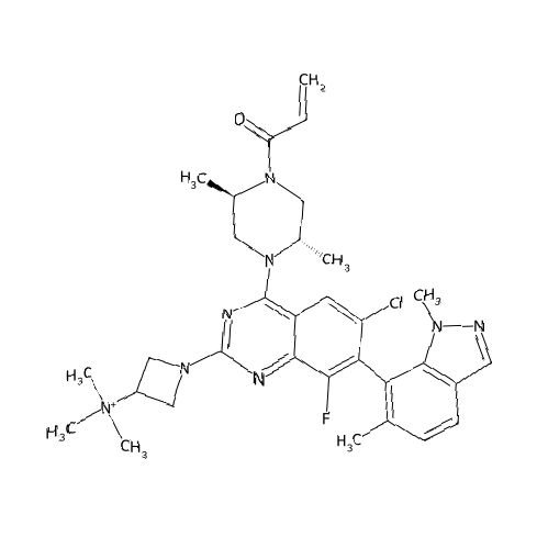 C=CC(=O)N1C[C@H](C)N(c2nc(N3CC([N+](C)(C)C)C3)nc3c(F)c(-c4c(C)ccc5cnn(C)c45)c(Cl)cc23)C[C@H]1C